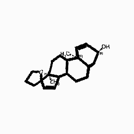 C[C@]12C=C[C@H](O)CC1CCC1C2CC[C@@]2(C)C1C=CC21CCCO1